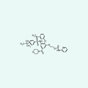 COc1cccc(Oc2c(NS(=O)(=O)c3ccc(C(C)(C)C)cc3)cc(C(=O)N3CCOCC3)cc2OCCOC(=O)Nc2ccccn2)c1